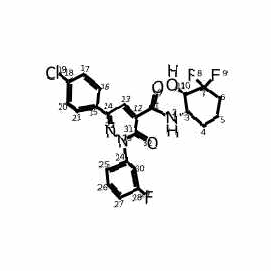 O=C(N[C@H]1CCCC(F)(F)[C@@H]1O)c1cc(-c2ccc(Cl)cc2)nn(-c2cccc(F)c2)c1=O